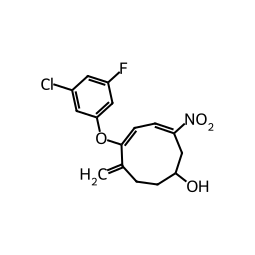 C=C1CCC(O)C/C([N+](=O)[O-])=C\C=C/1Oc1cc(F)cc(Cl)c1